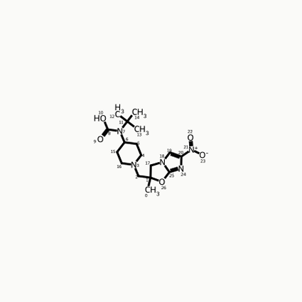 CC1(CN2CCC(N(C(=O)O)C(C)(C)C)CC2)Cn2cc([N+](=O)[O-])nc2O1